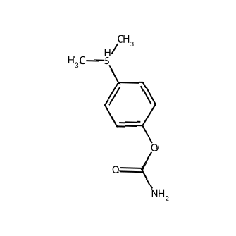 C[SH](C)c1ccc(OC(N)=O)cc1